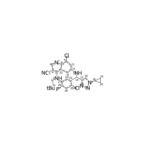 CC(C)(C)CNc1c(C#N)cnc2c(Cl)cc(NC(c3cn(C4CC4)nn3)c3ccc(F)cc3Cl)cc12